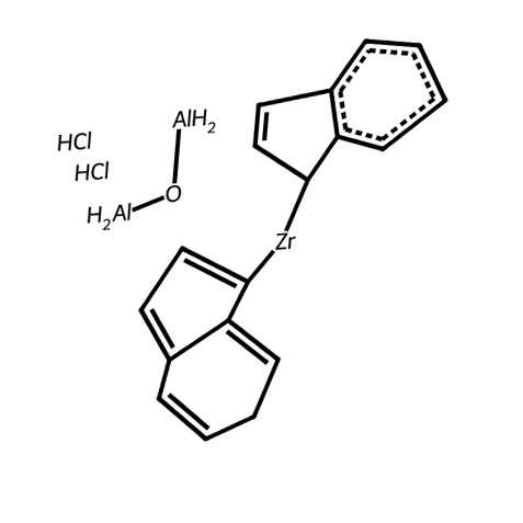 C1=CC2=CC=[C]([Zr][CH]3C=Cc4ccccc43)C2=CC1.Cl.Cl.[AlH2][O][AlH2]